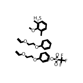 C=COCCOc1ccccc1.C=COCCOc1ccccc1.COc1c(C)cccc1C.O=S(=O)(O)C(F)(F)F.S